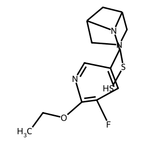 CCOc1ncc(CN2C3CC2CN(SS)C3)cc1F